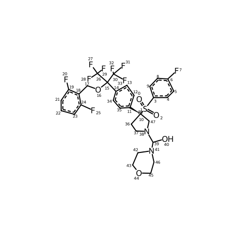 O=S(=O)(c1ccc(F)cc1)[C@@]1(c2ccc(C(OCc3c(F)cccc3F)(C(F)(F)F)C(F)(F)F)cc2)CCN(C(O)N2CCOCC2)C1